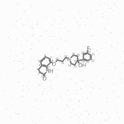 O=C1CCc2cccc(OCCCN3CCC(O)(c4cccc(F)c4)CC3)c2N1